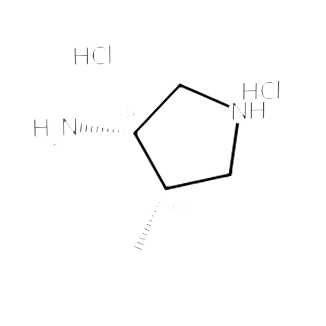 C[C@H]1CNC[C@H]1N.Cl.Cl